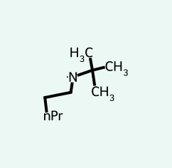 CCCCC[N]C(C)(C)C